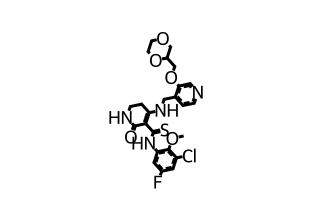 COc1c(Cl)cc(F)cc1NC(=S)C1=C(NCc2ccncc2OCC2COCCO2)CCNC1=O